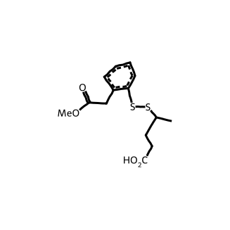 COC(=O)Cc1ccccc1SSC(C)CCC(=O)O